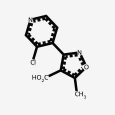 Cc1onc(-c2ccncc2Cl)c1C(=O)O